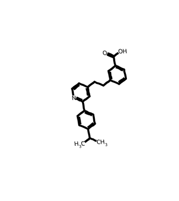 CC(C)c1ccc(-c2cc(CCc3cccc(C(=O)O)c3)ccn2)cc1